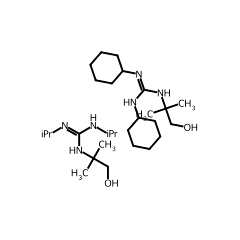 CC(C)(CO)NC(=NC1CCCCC1)NC1CCCCC1.CC(C)N=C(NC(C)C)NC(C)(C)CO